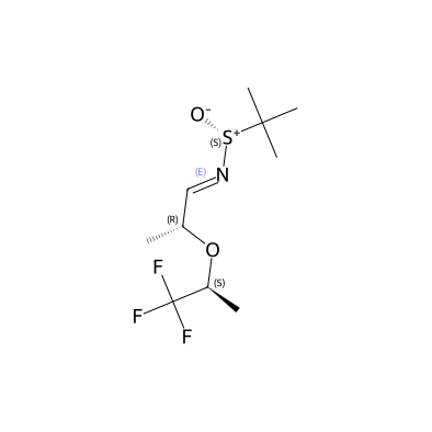 C[C@H](/C=N/[S@+]([O-])C(C)(C)C)O[C@@H](C)C(F)(F)F